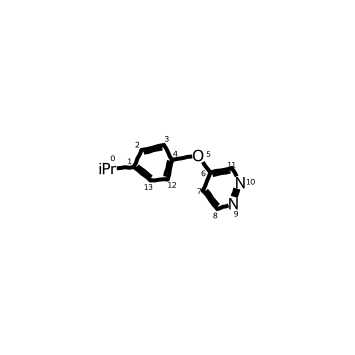 CC(C)c1ccc(Oc2ccnnc2)cc1